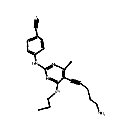 CCCNc1nc(Nc2ccc(C#N)cc2)nc(C)c1C#CCCCN